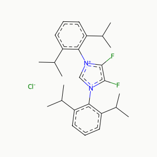 CC(C)c1cccc(C(C)C)c1-n1c[n+](-c2c(C(C)C)cccc2C(C)C)c(F)c1F.[Cl-]